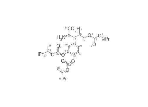 CC(C)OC(=O)OCC(C)C(c1ccc(OC(=O)OC(C)C(C)C)c(OC(=O)OC(C)C(C)C)c1)[C@H](N)C(=O)O